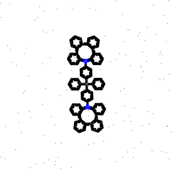 c1ccc([Si](c2ccccc2)(c2ccc(-n3c4ccccc4c4ccccc4c4ccccc4c4ccccc43)cc2)c2ccc(-n3c4ccccc4c4ccccc4c4ccccc4c4ccccc43)cc2)cc1